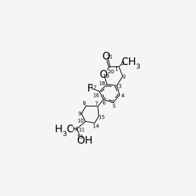 CC1Cc2ccc(C3CCC(C(C)O)CC3)c(F)c2OC1=O